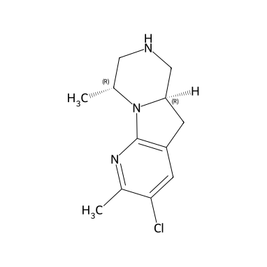 Cc1nc2c(cc1Cl)C[C@@H]1CNC[C@@H](C)N21